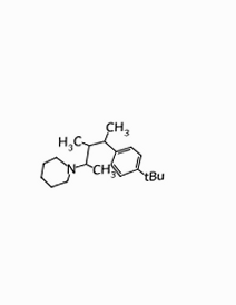 CC(c1ccc(C(C)(C)C)cc1)C(C)C(C)N1CCCCC1